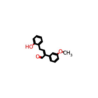 COc1cccc(C(C=O)=CCc2ccccc2O)c1